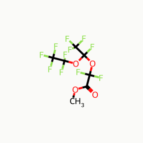 COC(=O)C(F)(F)OC(F)(OC(F)(F)C(F)(F)F)C(F)(F)F